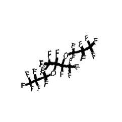 FC(F)(F)C(F)(F)C(F)(F)OC(F)(C(F)(F)F)C(F)(OC(F)(F)C(F)(F)C(F)(F)F)C(F)(F)F